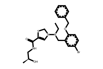 CCN(Cc1cc(Br)ccc1OCc1ccccc1)N1C=C(C(=O)NC[C@H](C)O)SC1